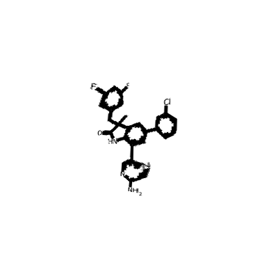 CC1(Cc2cc(F)cc(F)c2)C(=O)Nc2c(-c3cnc(N)cn3)cc(-c3cccc(Cl)c3)cc21